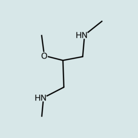 CNCC(CNC)OC